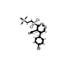 C[Si](C)(C)CCS(=O)(=O)c1nncc(-c2ccc(Br)cc2)c1C#N